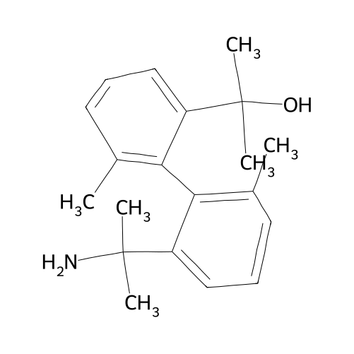 Cc1cccc(C(C)(C)N)c1-c1c(C)cccc1C(C)(C)O